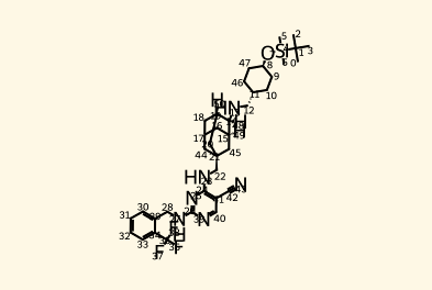 CC(C)(C)[Si](C)(C)O[C@H]1CC[C@H](CN[C@@H]2[C@@H]3CC4C[C@H]2C[C@@](CNc2nc(NCc5ccccc5C(F)(F)F)ncc2C#N)(C4)C3)CC1